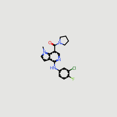 Cn1ccc2c(Nc3ccc(F)c(Cl)c3)ncc(C(=O)N3CCCC3)c21